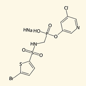 O=P(O)(CNS(=O)(=O)c1ccc(Br)s1)Oc1cncc(Cl)c1.[NaH]